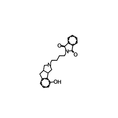 O=C1c2ccccc2C(=O)N1CCCCN1CC2Cc3cccc(O)c3C2C1